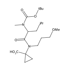 COCCCN(C(=O)C(CC(C)C)N(C)C(=O)OC(C)(C)C)C1(C(=O)O)CC1